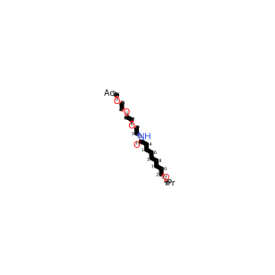 CC(=O)COCCOCCOCCNC(=O)CCCCCCCCOC(C)C